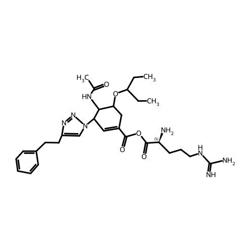 CCC(CC)OC1CC(C(=O)OC(=O)[C@@H](N)CCCNC(=N)N)=CC(n2cc(CCc3ccccc3)nn2)C1NC(C)=O